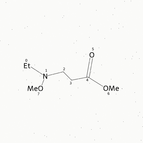 CCN(CCC(=O)OC)OC